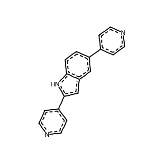 c1cc(-c2ccc3[nH]c(-c4ccncc4)cc3c2)ccn1